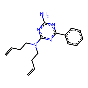 C=CCCN(CCC=C)c1nc(N)nc(-c2ccccc2)n1